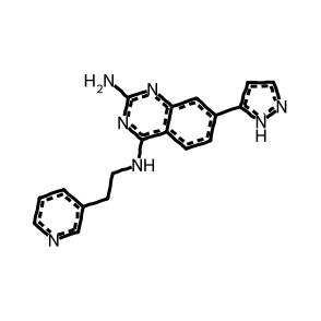 Nc1nc(NCCc2cccnc2)c2ccc(-c3ccn[nH]3)cc2n1